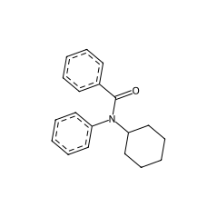 O=C(c1ccccc1)N(c1ccccc1)C1CCCCC1